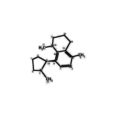 Cc1ncc([C@@H]2CCCN2C)c2c1CCCN2C